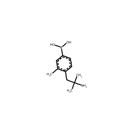 Cc1cc(B(O)O)ccc1CC(C)(C)N